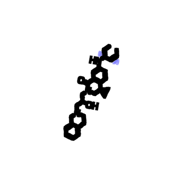 C/C=C\C(=C/C)Nc1ccc2c(c1)C(=O)N(CC(O)CN1CCc3ccccc3C1)CC21CC1